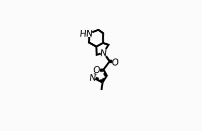 Cc1cc(C(=O)N2CC3CCNCC3C2)on1